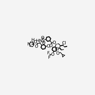 C=C/C(Cl)=C(C[C@H](OC(=O)c1cccc(S(=O)(=O)NC(C(=O)O[C@H]2CN3CCC2CC3)c2cccc(OC)c2)c1)c1ccc(OC(F)F)c(OCC2CC2)c1)\C(Cl)=C/C